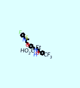 CC/C(=C/C(=O)c1ccc(C(F)(F)F)cc1)N[C@@H](Cc1ccc(OCCc2nc(-c3ccc(F)cc3)sc2C)cc1)C(=O)O